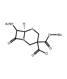 CC(=O)NC1C(=O)N2CC(C(=O)Cl)(C(=O)OC(C)(C)C)CS[C@H]12